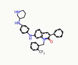 O=c1c(-c2ccccc2)cc2ccc(Nc3ccc(NC4CCCNC4)cc3)cc2n1Cc1ccccc1C(F)(F)F